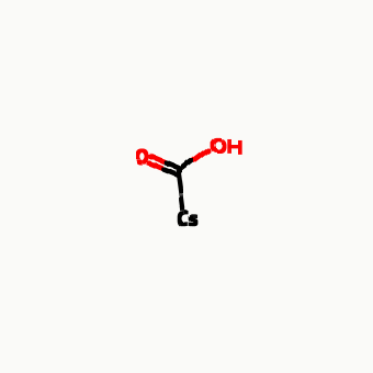 O=[C](O)[Cs]